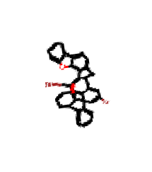 BrC1=CC2(c3ccccc3-c3ccccc32)c2c(c3c(c4cc(Br)ccc24)-c2c(ccc4c2oc2ccccc24)C=3)=C1